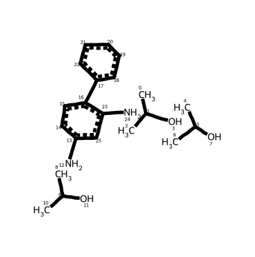 CC(C)O.CC(C)O.CC(C)O.Nc1ccc(-c2ccccc2)c(N)c1